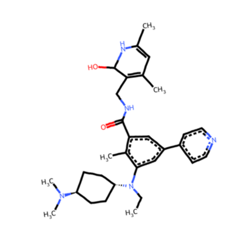 CCN(c1cc(-c2ccncc2)cc(C(=O)NCC2=C(C)C=C(C)NC2O)c1C)[C@H]1CC[C@H](N(C)C)CC1